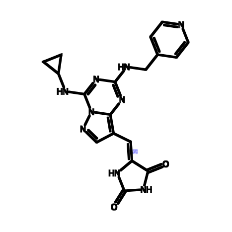 O=C1NC(=O)/C(=C/c2cnn3c(NC4CC4)nc(NCc4ccncc4)nc23)N1